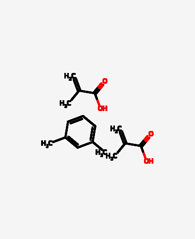 C=C(C)C(=O)O.C=C(C)C(=O)O.Cc1cccc(C)c1